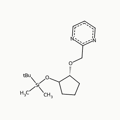 CC(C)(C)[Si](C)(C)OC1CCC[C@H]1OCc1ncccn1